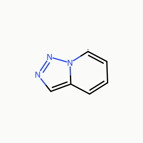 [c]1cccc2cnnn12